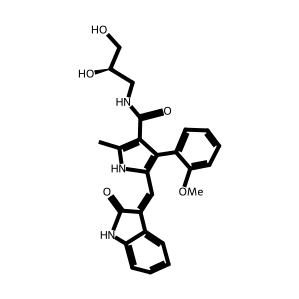 COc1ccccc1-c1c(/C=C2\C(=O)Nc3ccccc32)[nH]c(C)c1C(=O)NC[C@@H](O)CO